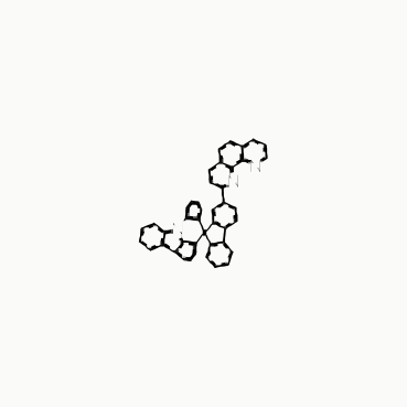 c1ccc2c(c1)-c1ccc(-c3ccc4ccc5cccnc5c4n3)cc1C21c2ccccc2-n2c3ccccc3c3cccc1c32